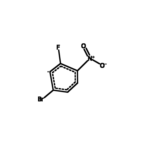 O=[N+]([O-])c1ccc(Br)[c]c1F